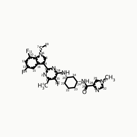 Cc1nc(-c2cn(SI)c3c(F)cc(F)cc23)nc(N[C@H]2CCC[C@@H](NC(=O)c3cn(C)cn3)C2)c1F